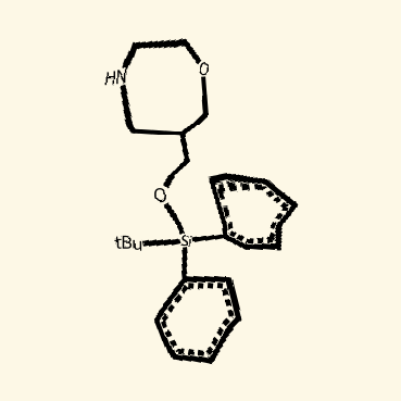 CC(C)(C)[Si](OCC1CNCCOC1)(c1ccccc1)c1ccccc1